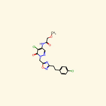 COCC(=O)Nc1cnn(Cc2nc(CCc3ccc(Cl)cc3)no2)c(=O)c1Cl